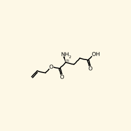 C=CCOC(=O)[C@@H](N)CCC(=O)O